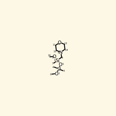 CO[Si](C)(C)O[Si](C)(CN1CCOCC1)OC